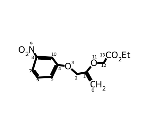 C=C(COc1cccc([N+](=O)[O-])c1)OCC(=O)OCC